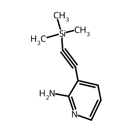 C[Si](C)(C)C#Cc1cccnc1N